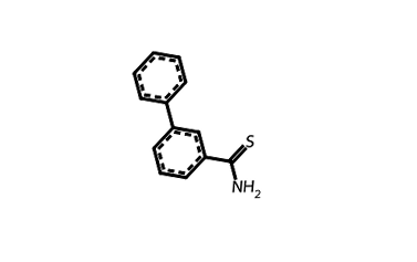 NC(=S)c1cccc(-c2ccccc2)c1